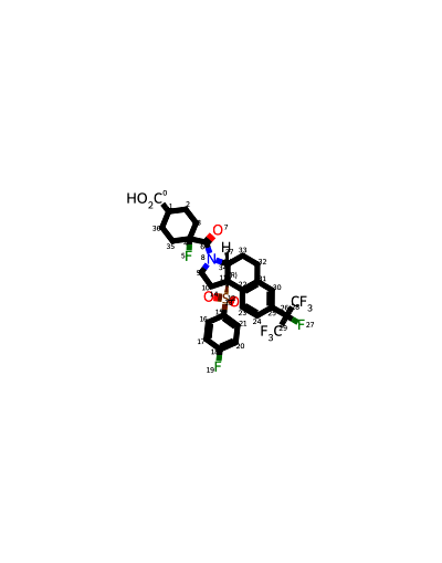 O=C(O)C1CCC(F)(C(=O)N2CC[C@@]3(S(=O)(=O)c4ccc(F)cc4)c4ccc(C(F)(C(F)(F)F)C(F)(F)F)cc4CC[C@@H]23)CC1